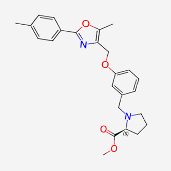 COC(=O)[C@@H]1CCCN1Cc1cccc(OCc2nc(-c3ccc(C)cc3)oc2C)c1